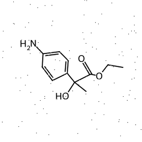 CCOC(=O)C(C)(O)c1ccc(N)cc1